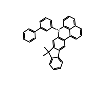 CC1(C)c2ccccc2-c2cc3c(cc21)N(c1cccc(-c2ccccc2)c1)c1cccc2cccc-3c12